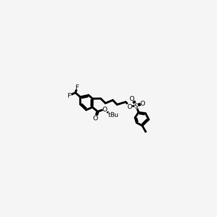 Cc1ccc(S(=O)(=O)OCCCCCc2cc(C(F)F)ccc2C(=O)OC(C)(C)C)cc1